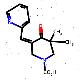 CC1(C)CN(C(=O)O)CC(=Cc2ccccn2)C1=O